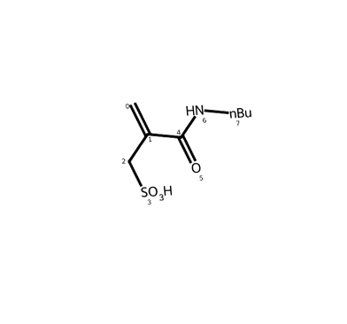 C=C(CS(=O)(=O)O)C(=O)NCCCC